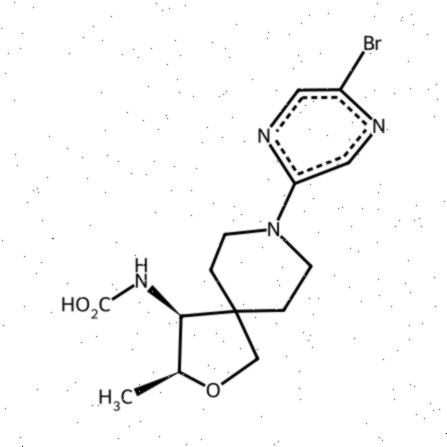 C[C@@H]1OCC2(CCN(c3cnc(Br)cn3)CC2)[C@@H]1NC(=O)O